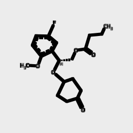 CCCC(=O)OC[C@H](OC1CCC(=O)CC1)c1cc(F)ccc1OC